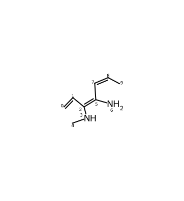 C=C/C(NC)=C(N)\C=C/C